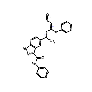 C=N/C=C(\C=C(/C)c1ccc2[nH]nc(C(=O)Nc3ccnnc3)c2c1)Oc1ccccc1